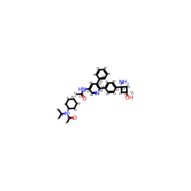 CC(=O)N(C(C)C)[C@H]1CC[C@H](CC(=O)Nc2cnc(-c3ccc([C@]4(N)C[C@](C)(O)C4)cc3)c(-c3ccccc3)c2)CC1